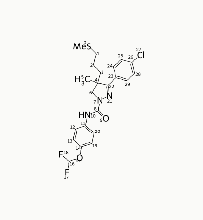 CSCCCC1(C)CN(C(=O)Nc2ccc(OC(F)F)cc2)N=C1c1ccc(Cl)cc1